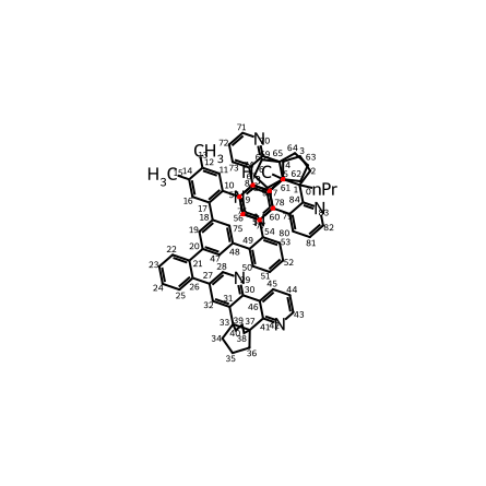 CCCC12CCCC1(C)c1cc(-c3cc(C)c(C)cc3-c3cc(-c4ccccc4-c4cnc5c(c4)C46CCCC4(CCC6)c4ncccc4-5)cc(-c4ccccc4-c4cnc5c(c4)C46CCCC4(CCC6)c4ncccc4-5)c3)cnc1-c1cccnc12